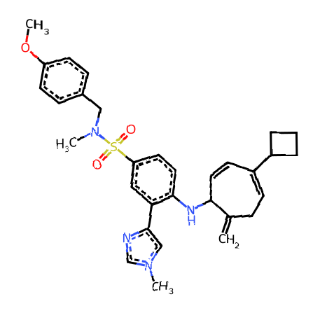 C=C1CC=C(C2CCC2)C=CC1Nc1ccc(S(=O)(=O)N(C)Cc2ccc(OC)cc2)cc1-c1cn(C)cn1